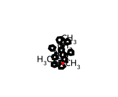 Cc1cc2c3c(c1)[Si](c1ccccc1)(c1ccccc1)c1cc(C)cc4c1B3c1c(cc(N3c5ccccc5C5(C)CCCCC35C)cc1N4c1ccccc1)N2c1ccccc1